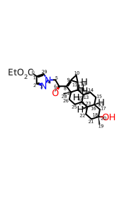 CCOC(=O)c1cnn(CC(=O)C2=C3C[C@H]3[C@H]3[C@@H]4CC[C@@H]5C[C@](C)(O)CC[C@@H]5[C@H]4CC[C@]23C)c1